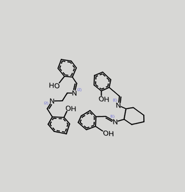 Oc1ccccc1/C=N/C1CCCCC1/N=C/c1ccccc1O.Oc1ccccc1/C=N\CC/N=C\c1ccccc1O